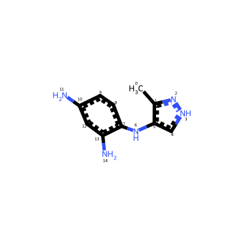 Cc1n[nH]cc1Nc1ccc(N)cc1N